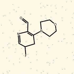 O=CC1=C(N2CCOCC2)CC(F)C=N1